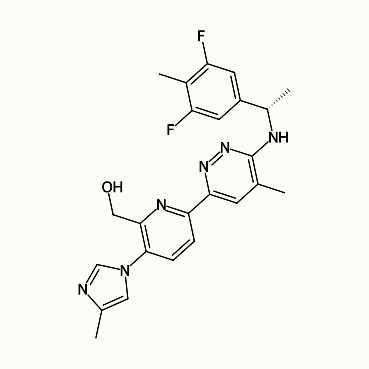 Cc1cn(-c2ccc(-c3cc(C)c(N[C@@H](C)c4cc(F)c(C)c(F)c4)nn3)nc2CO)cn1